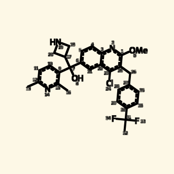 COc1nc2ccc(C(O)(c3ccc(C)nc3C)C3CNC3)cc2c(Cl)c1Cc1ccc(C(C)(F)F)cc1